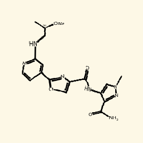 CO[C@H](C)CNc1cc(-c2nc(C(=O)Nc3cn(C)nc3C(N)=O)co2)ccn1